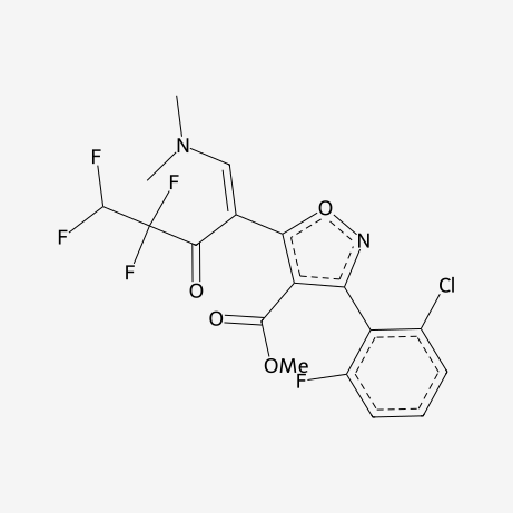 COC(=O)c1c(-c2c(F)cccc2Cl)noc1/C(=C/N(C)C)C(=O)C(F)(F)C(F)F